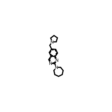 c1cc2nc(N3CCCCCC3)ncc2cc1CN1CCCC1